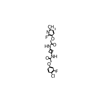 Cc1ccc(OCC(=O)NC23CC(NC(=O)COc4ccc(Cl)c(F)c4)(C2)C3)c(F)n1